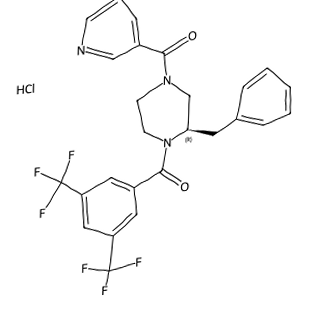 Cl.O=C(c1cccnc1)N1CCN(C(=O)c2cc(C(F)(F)F)cc(C(F)(F)F)c2)[C@H](Cc2ccccc2)C1